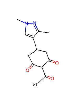 CCC(=O)C1C(=O)CC(c2cn(C)nc2C)CC1=O